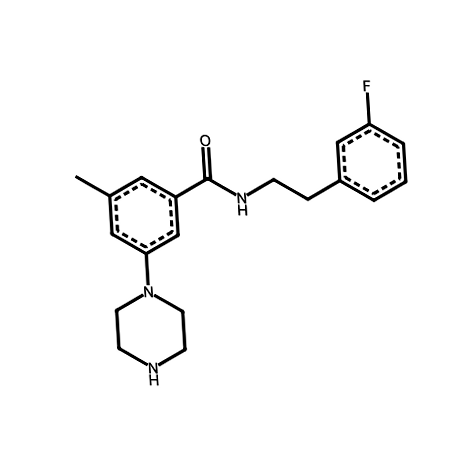 Cc1cc(C(=O)NCCc2cccc(F)c2)cc(N2CCNCC2)c1